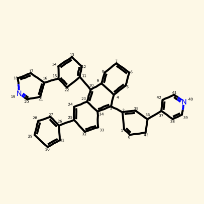 C1=CC(c2c3ccccc3c(-c3cccc(-c4ccncc4)c3)c3cc(-c4ccccc4)ccc23)=CC(c2ccncc2)C1